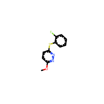 COc1ccc(Sc2ccccc2F)nn1